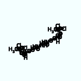 CN1Cc2c(Cl)cc(Cl)cc2[C@H](c2cccc(S(=O)(=O)NCCOCCOCCNC(=O)NCCNCCNC(=O)NCCOCCOCCNS(=O)(=O)c3cccc([C@@H]4CN(C)Cc5c(Cl)cc(Cl)cc54)c3)c2)C1